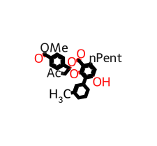 CCCCCc1cc(O)c(C2C=C(C)CCC2)c2c1C(=O)OC(CC(C)=O)(c1ccc(C(=O)OC)cc1)O2